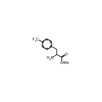 COC(=O)C(N)Cc1ccc(C(F)(F)F)cc1